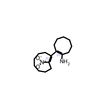 N/C1=C(\C2=C(\[N+](=O)[O-])CCCCCCC2)CCCCCC1